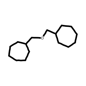 C1CCCC(COCC2CCCCCC2)CC1